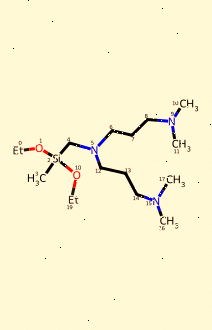 CCO[Si](C)(CN(CCCN(C)C)CCCN(C)C)OCC